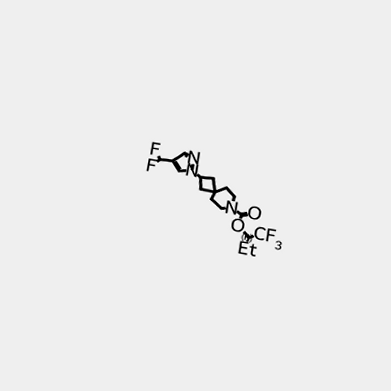 CC[C@@H](OC(=O)N1CCC2(CC1)CC(n1cc(C(F)F)cn1)C2)C(F)(F)F